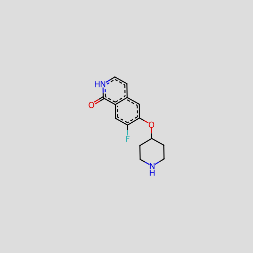 O=c1[nH]ccc2cc(OC3CCNCC3)c(F)cc12